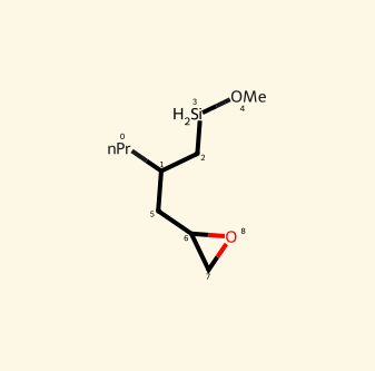 CCCC(C[SiH2]OC)CC1CO1